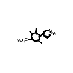 Cc1cc(C(=O)O)c(C)c(C)c1-c1cn[nH]c1